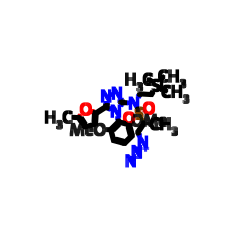 COc1cccc(OC)c1-n1c(-c2ccc(C)o2)nnc1N(CC[Si](C)(C)C)S(=O)(=O)[C@@H](C)CN=[N+]=[N-]